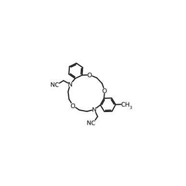 Cc1ccc2c(c1)OCCOc1ccccc1N(CC#N)CCOCCN2CC#N